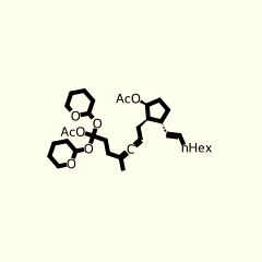 CCCCCCC=C[C@H]1CC[C@H](OC(C)=O)[C@@H]1CC=C=C(C)CCC(OC(C)=O)(OC1CCCCO1)OC1CCCCO1